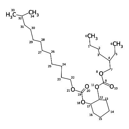 CCCCC(CC)COC(=O)OC1CCCCC1OC(=O)OCCCCCCCCCCC(C)C